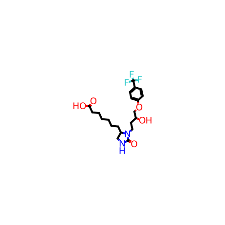 O=C(O)CCCCCCC1CNC(=O)N1CCC(O)COc1ccc(C(F)(F)F)cc1